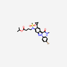 CNC(=O)c1c2cc(C3CC3)c(N(CCCC(=O)OC(C)C)S(C)(=O)=O)cc2nn1-c1ccc(Br)cc1